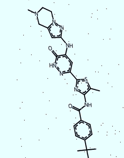 Cc1sc(-c2cc(Nc3cc4n(n3)CCN(C)C4)c(=O)[nH]n2)nc1NC(=O)c1ccc(C(C)(C)C)cc1